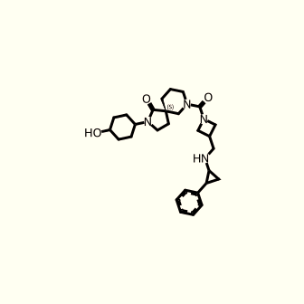 O=C(N1CC(CNC2CC2c2ccccc2)C1)N1CCC[C@]2(CCN(C3CCC(O)CC3)C2=O)C1